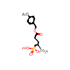 CC(=O)Oc1ccc(COC(=O)CCC(CP(=O)(O)O)C(=O)O)cc1